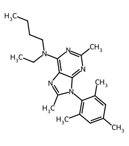 CCCCN(CC)c1nc(C)nc2c1nc(C)n2-c1c(C)cc(C)cc1C